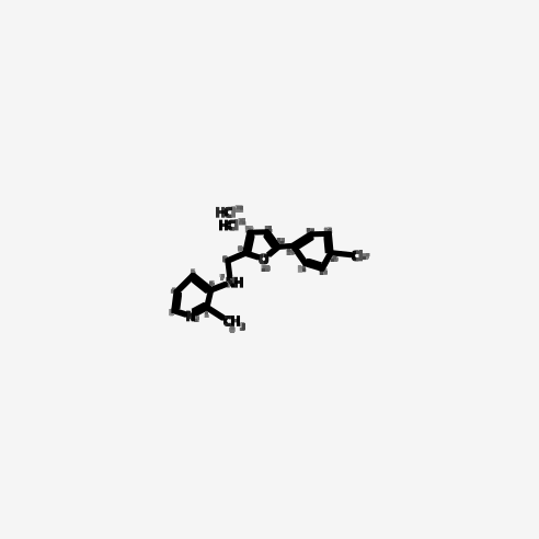 Cc1ncccc1NCc1ccc(-c2ccc(Cl)cc2)o1.Cl.Cl